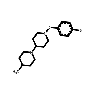 CC1CCN(C2CCN(Sc3ccc(Br)cc3)CC2)CC1